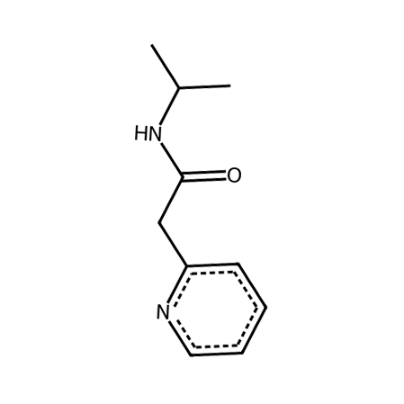 CC(C)NC(=O)Cc1ccccn1